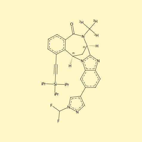 [2H]C([2H])([2H])N1C(=O)c2cccc(C#C[Si](C(C)C)(C(C)C)C(C)C)c2[C@H]2C[C@@H]1c1nc3ccc(-c4cnn(C(F)F)c4)cc3n12